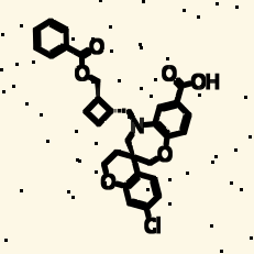 O=C(O)c1ccc2c(c1)N(C[C@@H]1CC[C@H]1COC(=O)c1ccccc1)C[C@@]1(CCOc3cc(Cl)ccc31)CO2